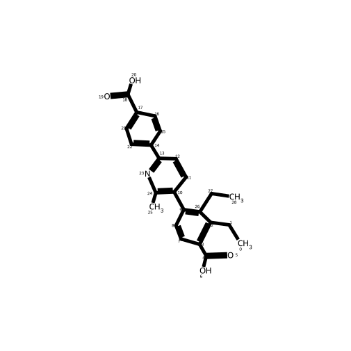 CCc1c(C(=O)O)ccc(-c2ccc(-c3ccc(C(=O)O)cc3)nc2C)c1CC